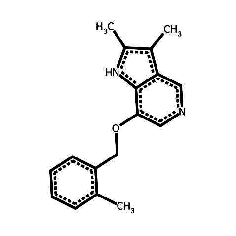 Cc1ccccc1COc1cncc2c(C)c(C)[nH]c12